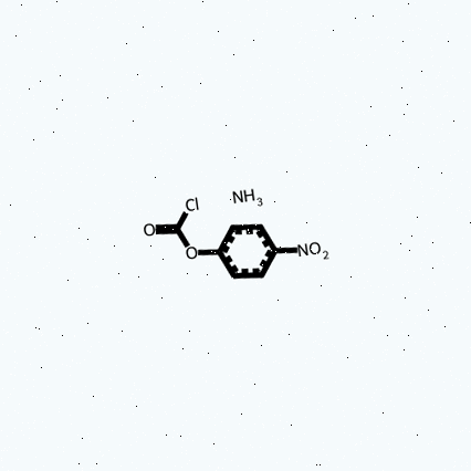 N.O=C(Cl)Oc1ccc([N+](=O)[O-])cc1